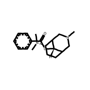 CN1CC2CC[C@H](N(C)C)C(C1)[C@H]2OC(=O)c1ccccc1